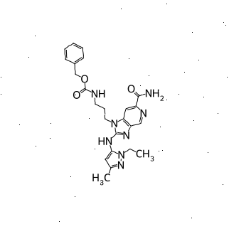 CCn1nc(C)cc1Nc1nc2cnc(C(N)=O)cc2n1CCCNC(=O)OCc1ccccc1